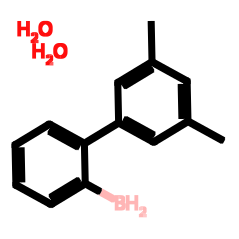 Bc1ccccc1-c1cc(C)cc(C)c1.O.O